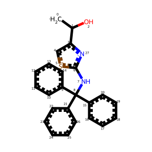 [CH2]C(O)c1csc(NC(c2ccccc2)(c2ccccc2)c2ccccc2)n1